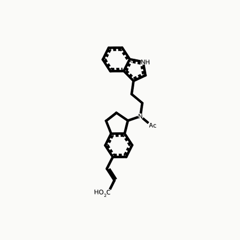 CC(=O)N(CCc1c[nH]c2ccccc12)C1CCc2cc(/C=C/C(=O)O)ccc21